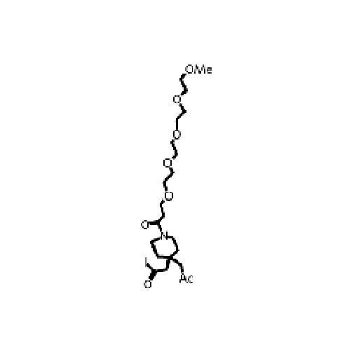 COCCOCCOCCOCCOCCC(=O)N1CCC(CC(C)=O)(CC(=O)I)CC1